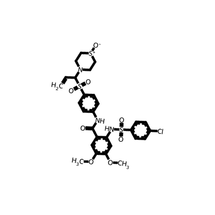 C=CC(N1CC[S+]([O-])CC1)S(=O)(=O)c1ccc(NC(=O)c2cc(OC)c(OC)cc2NS(=O)(=O)c2ccc(Cl)cc2)cc1